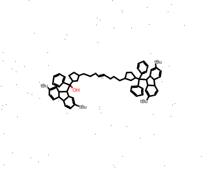 CC(C)(C)C1=CC2C(C=C1)C1C=CC(C(C)(C)C)=CC1C2C(O)(c1ccccc1)C1CCC(CCC/C=C/CCCC2CCC(C(c3ccccc3)(c3ccccc3)C3C4C=C(C(C)(C)C)C=CC4C4C=CC(C(C)(C)C)=CC43)C2)C1